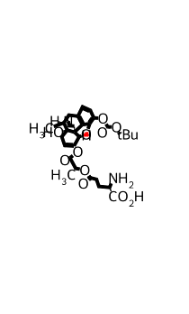 C[C@H](OC(=O)CC[C@H](N)C(=O)O)C(=O)OC1=CC[C@@]2(O)[C@H]3Cc4ccc(OC(=O)OC(C)(C)C)c5c4[C@@]2(CCN3C)[C@H]1O5